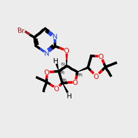 CC1(C)OCC([C@H]2O[C@@H]3OC(C)(C)O[C@@H]3[C@H]2Oc2ncc(Br)cn2)O1